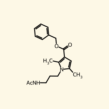 CC(=O)NCCCn1c(C)cc(C(=O)OCc2ccccc2)c1C